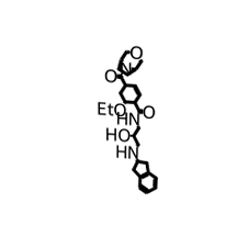 CCOC1CC(C(=O)N2C3CCC2COC3)C=CC1C(=O)NC[C@H](O)CNC1Cc2c#cccc2C1